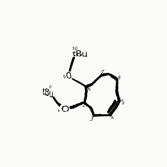 CC(C)(C)OC1CC=CCCC1OC(C)(C)C